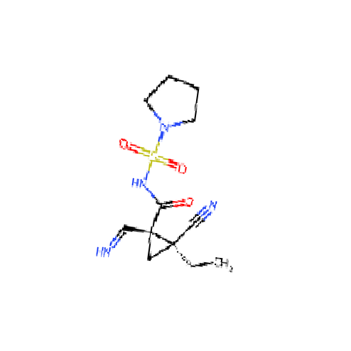 CC[C@]1(C#N)C[C@]1(C=N)C(=O)NS(=O)(=O)N1CCCC1